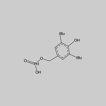 CC(C)(C)c1cc(CO[PH](=O)O)cc(C(C)(C)C)c1O